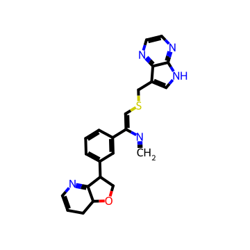 C=N/C(=C\SCc1c[nH]c2nccnc12)c1cccc(C2COC3CC=CN=C32)c1